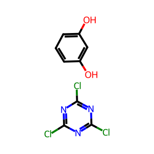 Clc1nc(Cl)nc(Cl)n1.Oc1cccc(O)c1